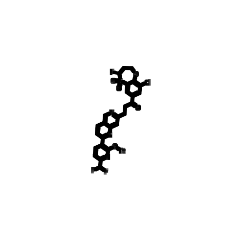 CCOc1nc(C(F)F)ccc1-c1ccc2cnc(CCC(=O)c3cc(Cl)c4c(c3)S(=O)(=O)[C@@H](F)CCO4)cc2n1